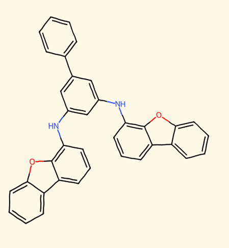 c1ccc(-c2cc(Nc3cccc4c3oc3ccccc34)cc(Nc3cccc4c3oc3ccccc34)c2)cc1